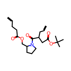 C=CCCC(=O)OCC1CCCN1C(=O)C(CC=C)CC(=O)OC(C)(C)C